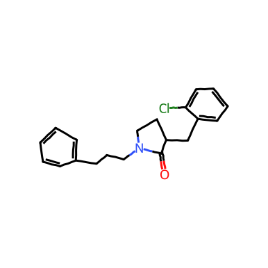 O=C1C(Cc2ccccc2Cl)CCN1CCCc1ccccc1